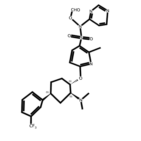 Cc1nc(O[C@H]2CC[C@H](c3cccc(C(F)(F)F)c3)C[C@@H]2N(C)C)ccc1S(=O)(=O)N(OC=O)c1ccncn1